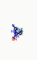 CC(C)(O)CNC1=NN(Nc2cc(F)cc(C#N)c2)NC(c2cccc(C(F)(F)F)n2)=C1